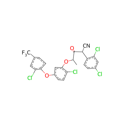 CC(Oc1cc(Oc2ccc(C(F)(F)F)cc2Cl)ccc1Cl)C(=O)C(C#N)c1ccc(Cl)cc1Cl